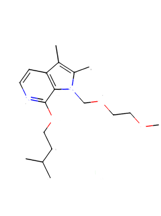 COCCOCn1c(C)c(C)c2ccnc(OCCC(C)C)c21.Cl